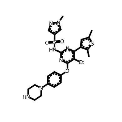 CCc1c(Oc2ccc(N3CCNCC3)cc2)nc(NS(=O)(=O)c2cnn(C)c2)nc1-c1cc(C)sc1C